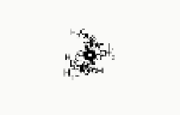 CCOP(=O)(Cc1cc(OC)c(CP(=O)(O)OC(C)CC)cc1OC)OCC